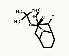 CN[C@@H]1CC2CCCC([C@@H]1F)N2C(=O)OC(C)(C)C